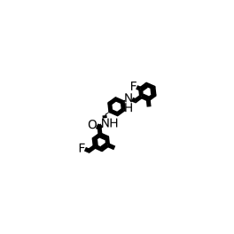 Cc1cc(CF)cc(C(=O)NC[C@H]2CC[C@@H](NCc3c(C)cccc3F)CC2)c1